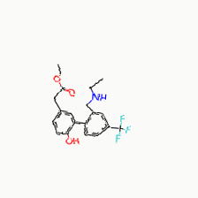 CCNCc1cc(C(F)(F)F)ccc1-c1cc(CC(=O)OCC)ccc1O